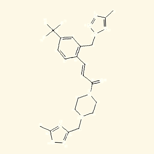 Cc1nnn(Cc2cc(C(F)(F)F)ccc2C=CC(=O)N2CCN(Cc3noc(C)n3)CC2)n1